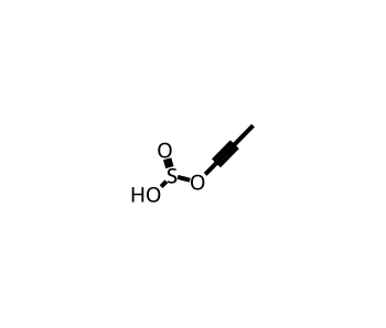 CC#COS(=O)O